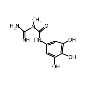 CN(C(=N)N)C(=O)Nc1cc(O)c(O)c(O)c1